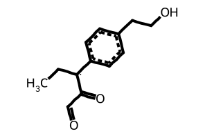 CC[C](C(=O)C=O)c1ccc(CCO)cc1